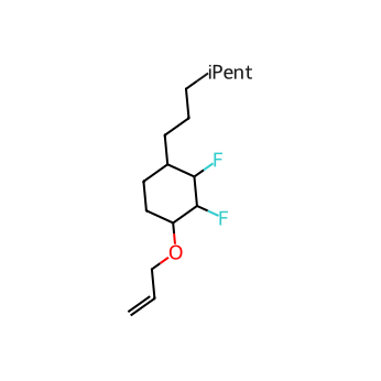 C=CCOC1CCC(CCCC(C)CCC)C(F)C1F